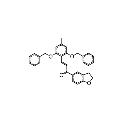 Cc1cc(OCc2ccccc2)c(C=CC(=O)c2ccc3c(c2)CCO3)c(OCc2ccccc2)c1